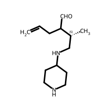 C=CCC(C=O)[C@H](C)CNC1CCNCC1